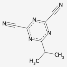 CC(C)c1nc(C#N)nc(C#N)n1